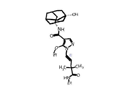 CCNC(=O)C(C)(C)/C=C/n1ncc(C(=O)N[C@]23CC4CC(C[C@@](O)(C4)C2)C3)c1OC(C)C